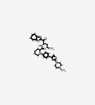 CCCC(NC(=O)C1CCCCN1c1ccc(-c2csc(N3CCN(C)CC3)n2)cc1)C(=O)c1nc2ccccc2o1